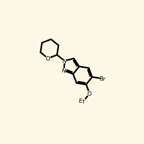 CCOc1cc2nn(C3CCCCO3)cc2cc1Br